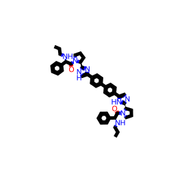 CCCN[C@@H](C(=O)N1CCC[C@H]1c1nc(-c2ccc(-c3ccc(-c4cnc([C@@H]5CCCN5C(=O)[C@H](NCCC)c5ccccc5)[nH]4)cc3)cc2)c[nH]1)c1ccccc1